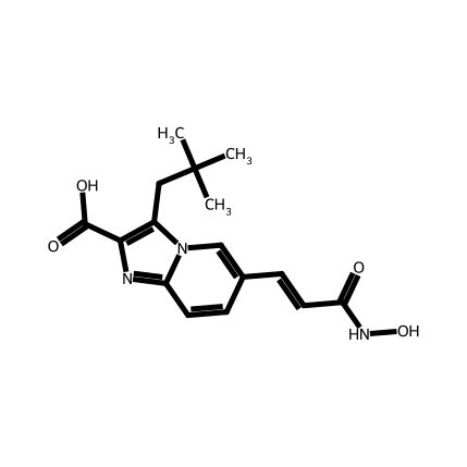 CC(C)(C)Cc1c(C(=O)O)nc2ccc(/C=C/C(=O)NO)cn12